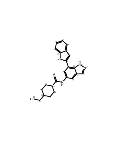 O=C(Nc1cc(-c2cc3ccccc3s2)c2[nH]ncc2c1)N1CCC(CO)CC1